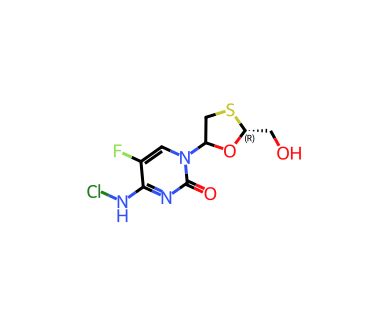 O=c1nc(NCl)c(F)cn1C1CS[C@H](CO)O1